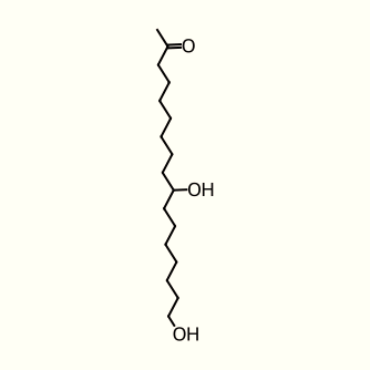 CC(=O)CCCCCCCC(O)CCCCCCCO